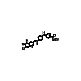 CCc1cc2ncc(CNC3CCC(Nc4ccc(C(=O)NC)nc4)CC3)cc2[nH]c1=O